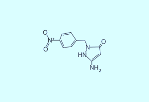 Nc1cc(=O)n(Cc2ccc([N+](=O)[O-])cc2)[nH]1